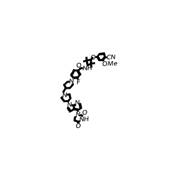 COc1cc(OC2C(C)(C)C(NC(=O)c3ccc(N4CCC(CN5CCC(n6ccc7c(N8CCC(=O)NC8=O)ccnc76)CC5)CC4)c(F)c3)C2(C)C)ccc1C#N